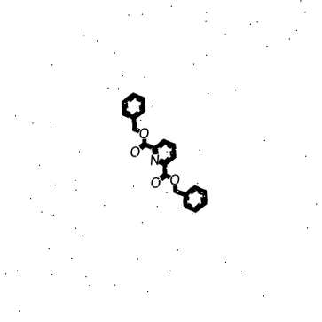 O=C(OCc1ccccc1)c1cccc(C(=O)OCc2ccccc2)n1